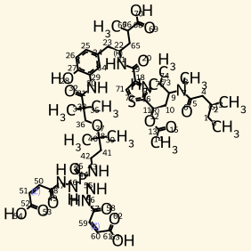 CC[C@H](C)CC(=O)N(C)C(C[C@@H](OC(C)=O)c1nc(C(=O)N[C@@H](Cc2ccc(O)c(NC(=O)C(C)(C)COC(C)(C)CCNP(=O)(NNC(=O)/C=C\C(=O)O)NNC(=O)/C=C\C(=O)O)c2)CC(C)C(=O)O)cs1)C(C)C